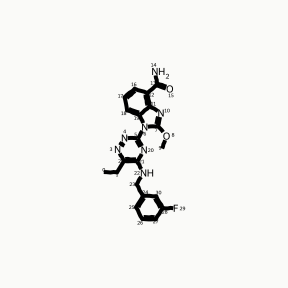 CCc1nnc(-n2c(OC)nc3c(C(N)=O)cccc32)nc1NCc1cccc(F)c1